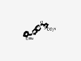 CC(C)COc1ccccc1CN1CCC2(CC1)CCN(C(=O)c1ccc(C(=O)O)s1)CC2